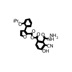 CC(C)Oc1ccccc1-c1ccoc1C(=O)OC(=O)c1ccc(O)c(C#N)c1C(=O)NN